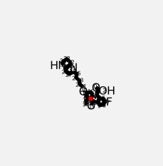 O=C(O)C(c1cc(F)ccc1C1CCCO1)N1CC[C@@H](OCCCCCc2ccc3c(n2)CCCN3)C1